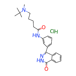 CN(CCCCC(=O)Nc1cccc(-c2n[nH]c(=O)c3ccccc23)c1)C(C)(C)C.Cl